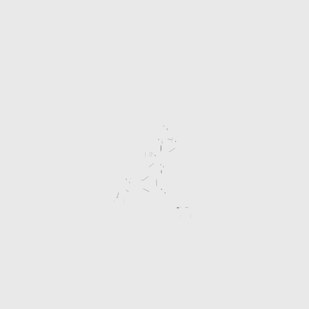 C=CC(=O)N1CCC[C@H]1c1ccc(N2CC(CS(C)(=O)=O)C2)c2cnc(Nc3ccnc(N4CC[C@@H](OC(C)C)[C@@H](F)C4)n3)cc12